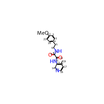 COc1ccc(CCNC(=O)C(=O)Nc2cnccc2C)cc1